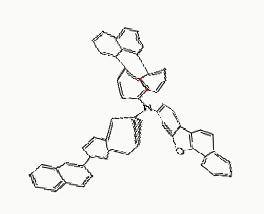 c1ccc(-c2cccc3cccc(-c4ccc(N(c5ccc6cc(-c7ccc8ccccc8c7)ccc6c5)c5ccc6c(c5)oc5c7ccccc7ccc65)cc4)c23)cc1